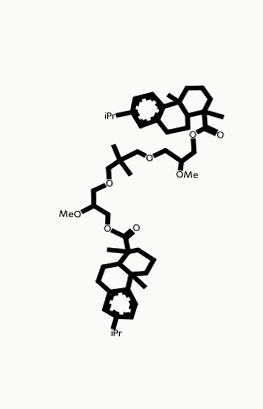 COC(COCC(C)(C)COCC(COC(=O)C1(C)CCCC2(C)c3ccc(C(C)C)cc3CCC12)OC)COC(=O)C1(C)CCCC2(C)c3ccc(C(C)C)cc3CCC12